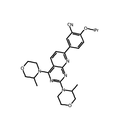 CC(C)Oc1ccc(-c2ccc3c(N4CCOCC4C)nc(N4CCOCC4C)nc3n2)cc1C#N